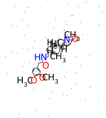 COc1ccc(CC(=O)NCC2CC[C@H]3[C@@H]4CCC5N(C)C(=O)C=C[C@]5(C)[C@@H]4CC[C@]23C)cc1OC